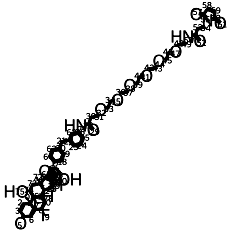 C[C@]12C=CC(=O)C=C1[C@@H](F)C[C@H]1C3C[C@H]4O[C@@H](c5ccc(Cc6cccc(NC(=O)CCOCCOCCOCCOCCOCCOCCNC(=O)CCN7C(=O)C=CC7=O)c6)cc5)O[C@@]4(C(=O)CO)[C@@]3(C)C[C@H](O)[C@@]12F